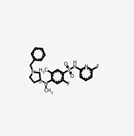 Cc1cc(S(=O)(=O)Nc2cccc(F)n2)c(F)cc1N(C)[C@H]1CCN(Cc2ccccc2)C1